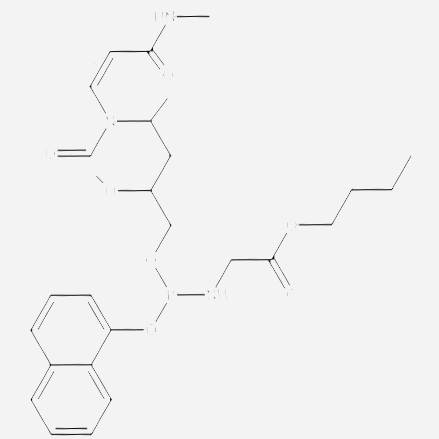 CCCCOC(=O)CNP(OCC(CC(C)N(C=O)/C=C\C(=O)NC)OC)Oc1cccc2ccccc12